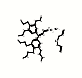 C=C[CH2][Ni][CH2]C=C.CCCCc1cc(C(=CC=C=[N+]=[N-])c2cc(CCC)c(CCC)c(CCC)c2)cc(CCCC)c1CCCC